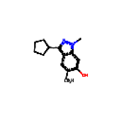 Cn1nc(C2CCCC2)c2cc(C(=O)O)c(O)cc21